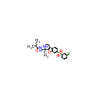 CC(C)C(=O)NCC1(C)NCCc2c1oc1cc(S(=O)(=O)c3cccc(F)c3)ccc21